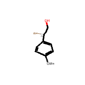 COc1ccc([C@H](Br)CO)cc1